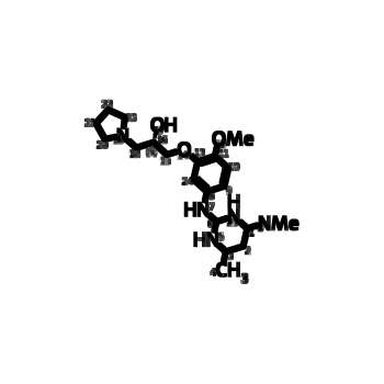 CNC1CC(C)NC(Nc2ccc(OC)c(OC[C@@H](O)CN3CCCC3)c2)N1